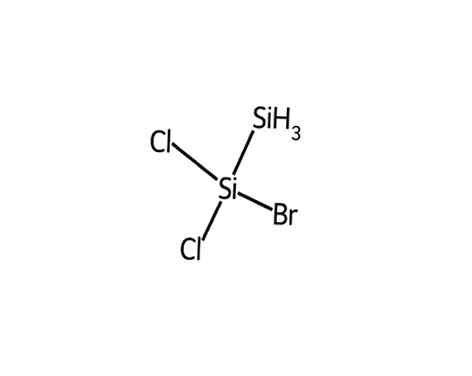 [SiH3][Si](Cl)(Cl)Br